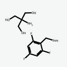 Fc1cc(F)c([CH2][SnH])c(F)c1.NC(CO)(CO)CO